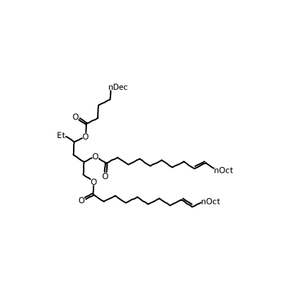 CCCCCCCCC=CCCCCCCCC(=O)OCC(CC(CC)OC(=O)CCCCCCCCCCCCC)OC(=O)CCCCCCCC=CCCCCCCCC